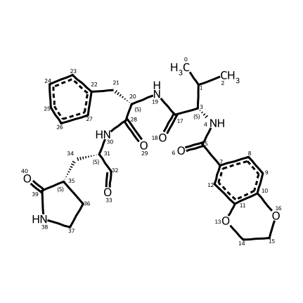 CC(C)[C@H](NC(=O)c1ccc2c(c1)OCCO2)C(=O)N[C@@H](Cc1ccccc1)C(=O)N[C@H](C=O)C[C@@H]1CCNC1=O